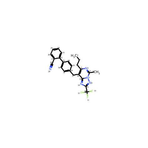 CCCc1nc(C)n2nc(C(F)(F)F)nc2c1Cc1ccc(-c2ccccc2C#N)cc1